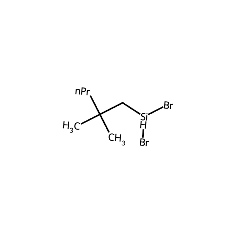 CCCC(C)(C)C[SiH](Br)Br